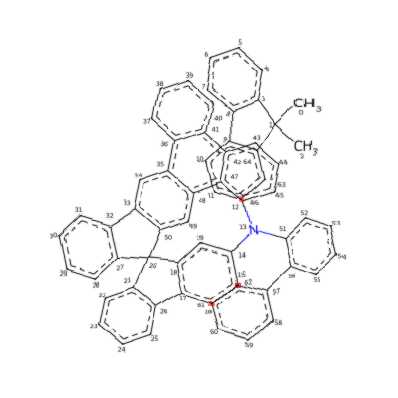 CC1(C)c2ccccc2-c2ccc(N(c3ccc4c(c3)C3(c5ccccc5-4)c4ccccc4-c4cc5c6ccccc6c6ccccc6c5cc43)c3ccccc3-c3ccccc3)cc21